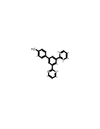 Cc1ccc(-c2cc(-c3ncccn3)cc(-c3ncccn3)c2)cc1